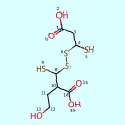 O=C(O)CC(S)SSC(S)C(CCO)C(=O)O